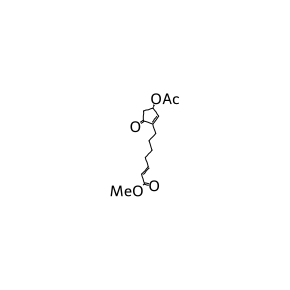 COC(=O)C=CCCCCC1=C[C@H](OC(C)=O)CC1=O